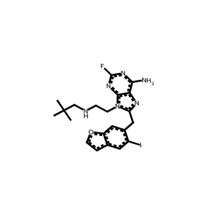 CC(C)(C)CNCCn1c(Cc2cc3occc3cc2I)nc2c(N)nc(F)nc21